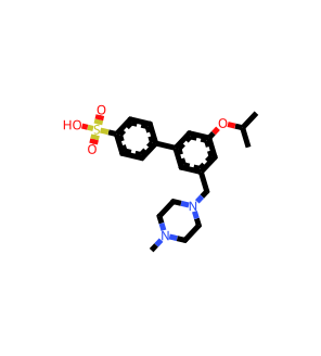 CC(C)Oc1cc(CN2CCN(C)CC2)cc(-c2ccc(S(=O)(=O)O)cc2)c1